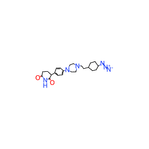 [N-]=[N+]=NC1CCC(CCN2CCN(c3ccc(C4CCC(=O)NC4=O)cc3)CC2)CC1